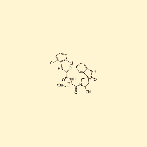 CC(C)(C)C[C@H](NC(=O)C(=O)Nc1c(Cl)cccc1Cl)C(=O)N1C[C@]2(CC1C#N)C(=O)Nc1ccccc12